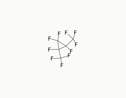 FC(F)(F)C1(F)C(F)(F)C1(F)C(F)(F)F